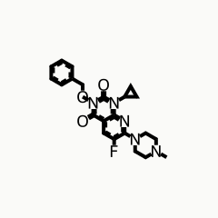 CN1CCN(c2nc3c(cc2F)c(=O)n(OCc2ccccc2)c(=O)n3C2CC2)CC1